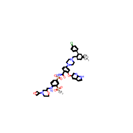 CC1(C)CCC(CN2CCN(c3ccc(C(=O)NS(=O)(=O)c4ccc(NCC5CN(C6COC6)CCO5)c(S(=O)(=O)C(F)(F)F)c4)c(Oc4cnc5[nH]ccc5c4)c3)CC2)=C(c2ccc(Cl)cc2)C1